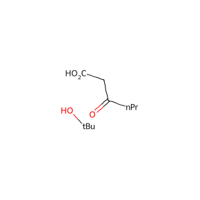 CC(C)(C)O.CCCC(=O)CC(=O)O